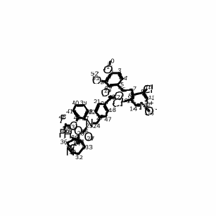 COc1ccc(C(Cc2c(Cl)c[n+]([O-])cc2Cl)OC(=O)c2ccc(CN(C(=O)O[C@H]3CN4CCC3CC4)c3ccccc3OC(F)F)cc2)cc1OC